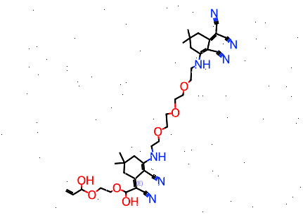 C=CC(O)OCCOC(O)/C(C#N)=C1\CC(C)(C)CC(NCCOCCOCCOCCNC2=C(C#N)C(=C(C#N)C#N)CC(C)(C)C2)=C1C#N